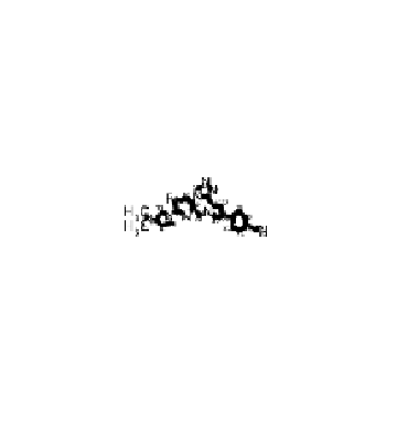 CN(C)[C@@H]1CCN(c2nc3c(cc2F)-n2cnnc2-c2cc(-c4ccc(C#N)cc4)cn2C3)C1